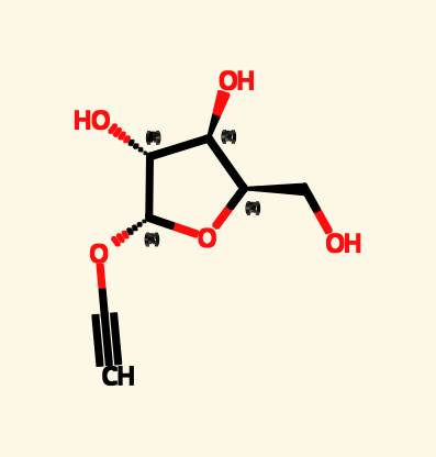 C#CO[C@H]1O[C@H](CO)[C@H](O)[C@H]1O